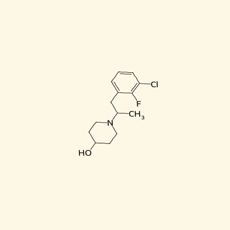 CC(Cc1cccc(Cl)c1F)N1CCC(O)CC1